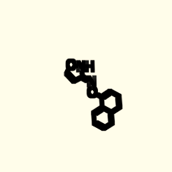 c1ccc2c(ON=c3cco[nH]3)cccc2c1